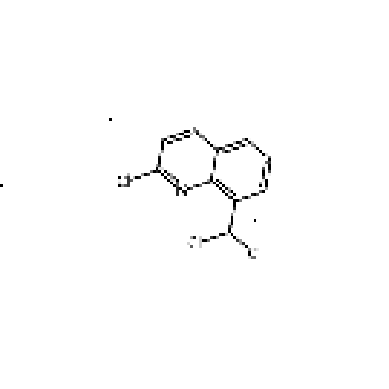 Clc1ccc2cccc(C(Cl)Cl)c2n1